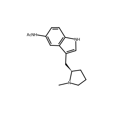 CC(=O)Nc1ccc2[nH]cc(C[C@H]3CCCN3C)c2c1